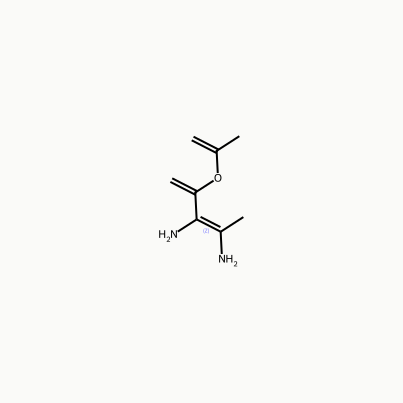 C=C(C)OC(=C)/C(N)=C(\C)N